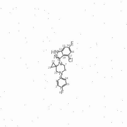 Fc1ccc(N2CCN(c3n[nH]c4cc(F)cc(Cl)c34)C3(CC3)C2)cc1